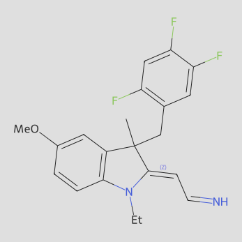 CCN1/C(=C\C=N)C(C)(Cc2cc(F)c(F)cc2F)c2cc(OC)ccc21